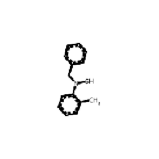 Cc1ccccc1N(S)Cc1ccccc1